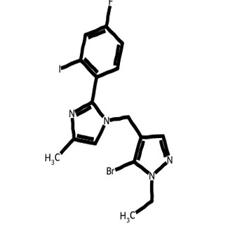 CCn1ncc(Cn2cc(C)nc2-c2ccc(F)cc2I)c1Br